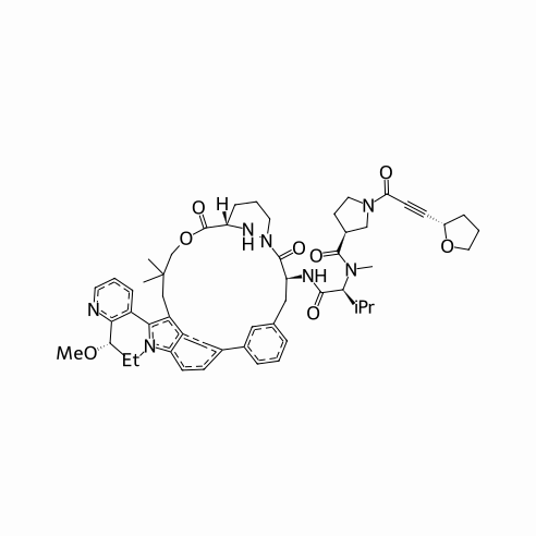 CCn1c(-c2cccnc2[C@H](C)OC)c2c3cc(ccc31)-c1cccc(c1)C[C@H](NC(=O)[C@H](C(C)C)N(C)C(=O)[C@H]1CCN(C(=O)C#C[C@@H]3CCCO3)C1)C(=O)N1CCC[C@H](N1)C(=O)OCC(C)(C)C2